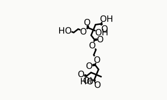 CC(CC(=O)O)(CC(=O)OCCOC(=O)CC(O)(CC(=O)O)C(=O)OCCO)C(=O)O